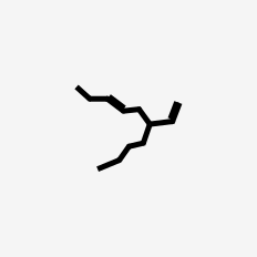 C=CC(CC=CCC)CCCC